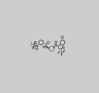 CC(C)S(=O)(=O)Nc1cccc(C(=O)N[C@@H]2CCC[C@H](Nc3cc(C(F)(F)F)nc4ccc(Cl)cc34)C2)c1